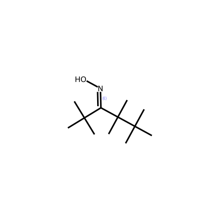 CC(C)(C)/C(=N\O)C(C)(C)C(C)(C)C